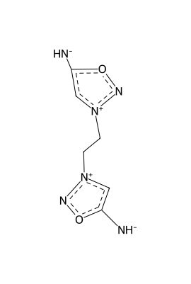 [NH-]c1c[n+](CC[n+]2cc([NH-])on2)no1